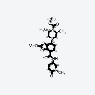 COc1nc2c(C(=O)Nc3ccc(=O)n(C)c3)ccc(N3C[C@H](C)N(C(=O)OC(C)(C)C)[C@@H](C)C3)c2s1